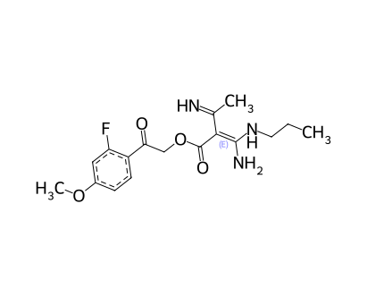 CCCN/C(N)=C(\C(C)=N)C(=O)OCC(=O)c1ccc(OC)cc1F